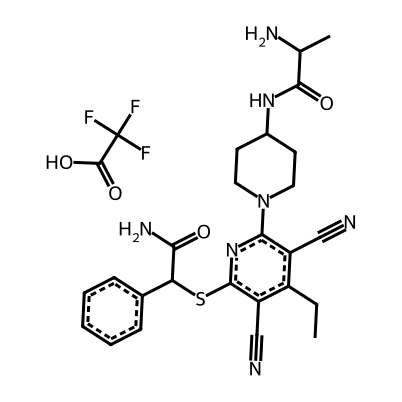 CCc1c(C#N)c(SC(C(N)=O)c2ccccc2)nc(N2CCC(NC(=O)C(C)N)CC2)c1C#N.O=C(O)C(F)(F)F